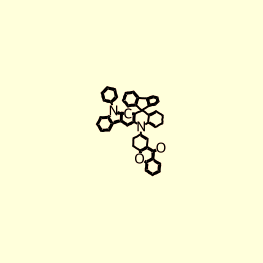 O=c1c2c(oc3ccccc13)CCC(N1C3=CCCC=C3C3(c4ccccc4-c4ccccc43)c3cc4c(cc31)c1ccccc1n4-c1ccccc1)=C2